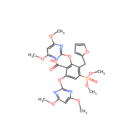 COc1cc(OC)nc(Oc2cc(P(=O)(OC)OC)c(Cc3ccco3)c(Oc3nc(OC)cc(OC)n3)c2C(=O)O)n1